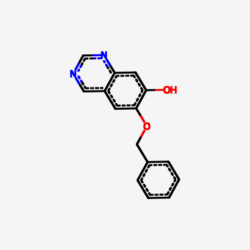 Oc1cc2ncncc2cc1OCc1ccccc1